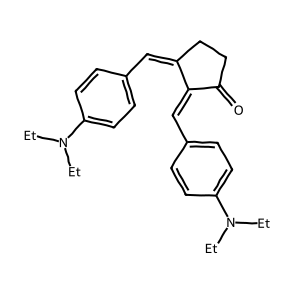 CCN(CC)c1ccc(C=C2CCC(=O)C2=Cc2ccc(N(CC)CC)cc2)cc1